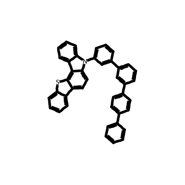 c1ccc(-c2ccc(-c3cccc(-c4cccc(-n5c6ccccc6c6c7sc8ccccc8c7ccc65)c4)c3)cc2)cc1